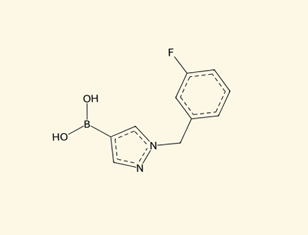 OB(O)c1cnn(Cc2cccc(F)c2)c1